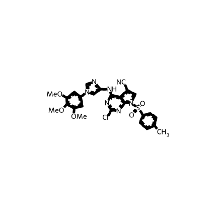 COc1cc(-n2cnc(Nc3nc(Cl)nc4c3c(C#N)cn4S(=O)(=O)c3ccc(C)cc3)c2)cc(OC)c1OC